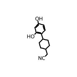 N#CCC1CCC(c2ccc(O)cc2O)CC1